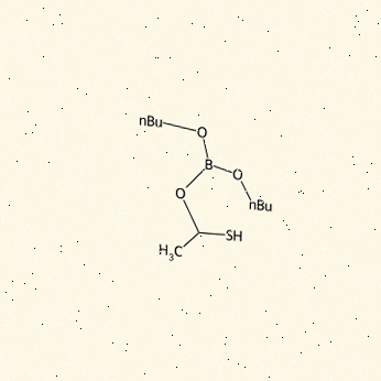 CCCCOB(OCCCC)OC(C)S